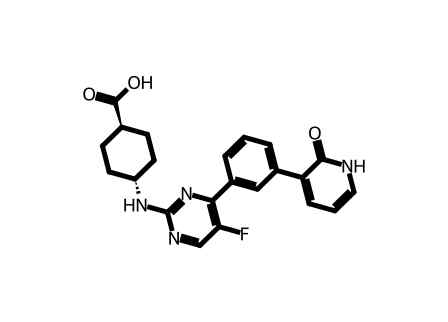 O=c1[nH]cccc1-c1cccc(-c2nc(N[C@H]3CC[C@H](C(=O)O)CC3)ncc2F)c1